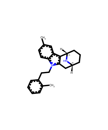 Cc1ccc2c(c1)c1c(n2CCc2ccccc2C)C[C@H]2CCC[C@@H]1N2